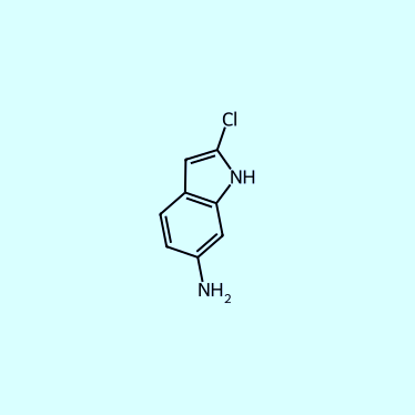 Nc1ccc2cc(Cl)[nH]c2c1